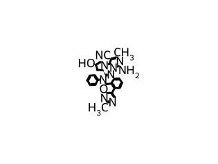 Cc1ncc(-c2cccc3nc([C@@H]4C[C@H](O)CN4c4nc(N)nc(C)c4C#N)n(-c4ccccc4)c(=O)c23)cn1